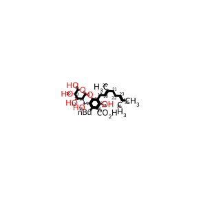 CCCCc1cc(OC2O[C@H](O)[C@@H](O)[C@H](O)[C@H]2CO)c(C/C=C(\C)CCC=C(C)C)c(O)c1C(=O)O